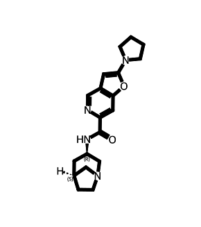 O=C(N[C@@H]1C[C@@H]2CCN(C2)C1)c1cc2oc(N3CCCC3)cc2cn1